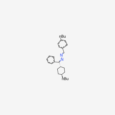 CCCCc1ccc(C=NN=C(c2ccccc2)[C@H]2CC[C@H](CCCC)CC2)cc1